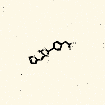 O=C(O)Cc1ccc(C2=N/C(=C/c3cccs3)C(=O)O2)cc1